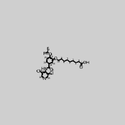 O=C(O)CCCCCCCCOc1cc(C(=O)Nc2c(Cl)cncc2Cl)ccc1OC(F)F